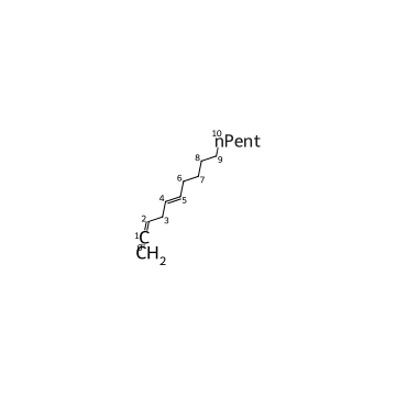 C=C=CCC=CCCCCCCCCC